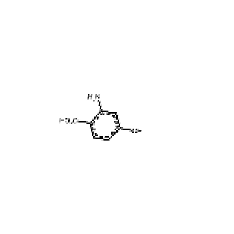 Nc1cc(O)ccc1C(=O)O